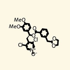 COc1ccc([C@H](Cc2c(Cl)c[n+]([O-])cc2Cl)OC(=O)c2cccc(CC3OCCO3)c2)cc1OC